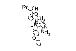 CC(C)C=C(C#N)C(=O)N1CCCC1C(C)n1nc(-c2ccc(Oc3ccccc3)cc2F)c2c(N)ncnc21